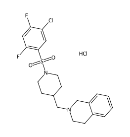 Cl.O=S(=O)(c1cc(Cl)c(F)cc1F)N1CCC(CN2CCc3ccccc3C2)CC1